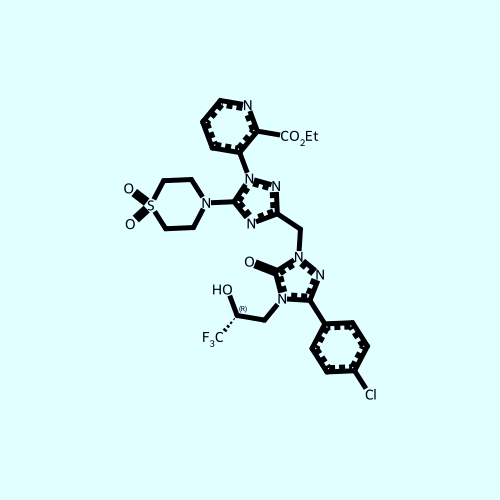 CCOC(=O)c1ncccc1-n1nc(Cn2nc(-c3ccc(Cl)cc3)n(C[C@@H](O)C(F)(F)F)c2=O)nc1N1CCS(=O)(=O)CC1